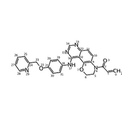 C=CC(=O)N1CCOc2c1ccc1ncnc(Nc3ccc(OCc4ccccn4)cc3)c21